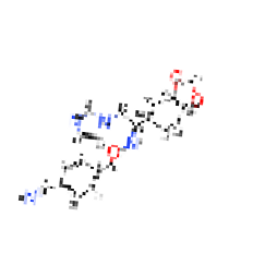 N#Cc1ccc(CO/N=C(\Cn2ccnc2)c2ccc3c(c2)OCO3)cc1